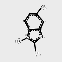 Cc1nc2cc(C(F)(F)F)ccc2n1C